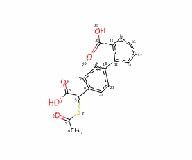 CC(=O)SC(C(=O)O)c1ccc(-c2ccccc2C(=O)O)cc1